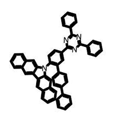 c1ccc(-c2ccc(-c3cc(-c4nc(-c5ccccc5)nc(-c5ccccc5)n4)ccc3-n3c4cc5ccccc5cc4c4cc5ccccc5cc43)cc2)cc1